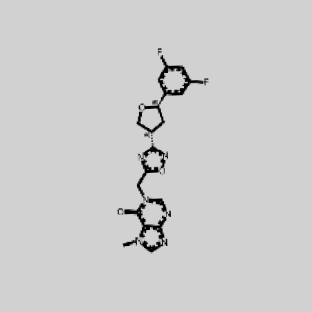 Cn1cnc2ncn(Cc3nc([C@@H]4CO[C@@H](c5cc(F)cc(F)c5)C4)no3)c(=O)c21